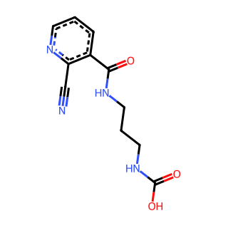 N#Cc1ncccc1C(=O)NCCCNC(=O)O